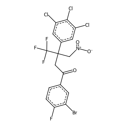 O=C(CC(C[N+](=O)[O-])(c1cc(Cl)c(Cl)c(Cl)c1)C(F)(F)F)c1ccc(F)c(Br)c1